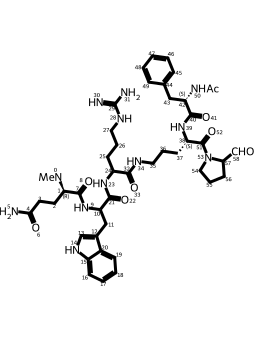 CN[C@H](CCC(N)=O)C(=O)NC(Cc1c[nH]c2ccccc12)C(=O)NC(CCCNC(=N)N)C(=O)NCCC[C@H](NC(=O)[C@H](Cc1ccccc1)NC(C)=O)C(=O)N1CCCC1C=O